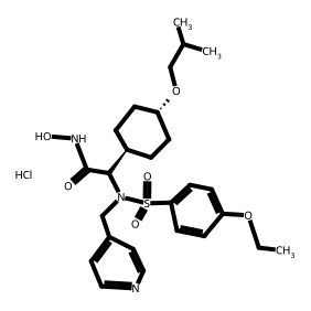 CCOc1ccc(S(=O)(=O)N(Cc2ccncc2)C(C(=O)NO)[C@H]2CC[C@H](OCC(C)C)CC2)cc1.Cl